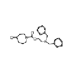 O=C1CCCN(C(=O)OCCN(Cc2ccccc2)Cc2ccccc2)CC1